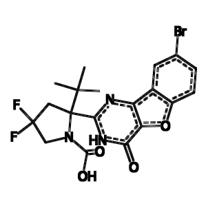 CC(C)(C)C1(c2nc3c(oc4ccc(Br)cc43)c(=O)[nH]2)CC(F)(F)CN1C(=O)O